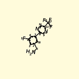 NCc1cc(F)cc(-c2cnc(C(F)(F)F)cn2)c1